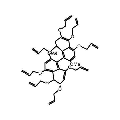 C=CCOC1=C[C@@H](OCC=C)C(OCC=C)c2c(OCC=C)cc(OC)c(-c3c(OC)cc(OCC=C)c4c3C(OCC=C)CC(OCC=C)=C4OCC=C)c21